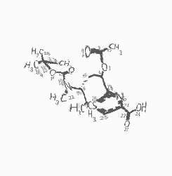 CC(=O)OC(C[C@H](C(C)C)N(C)C(=O)OC(C)(C)C)c1nc(C(=O)O)cs1